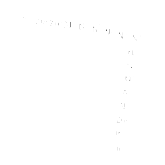 [Al+3].[Al+3].[Al+3].[In+3].[In+3].[In+3].[N-3].[N-3].[N-3].[N-3].[N-3].[N-3].[N-3].[N-3].[Zn+2].[Zn+2].[Zn+2]